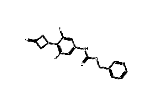 O=C1CN(c2c(F)cc(NC(=O)OCc3ccccc3)cc2F)C1